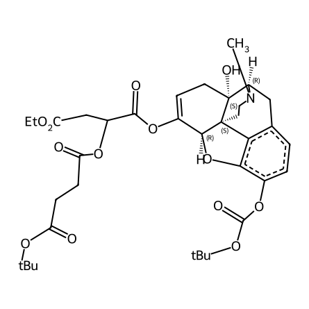 CCOC(=O)CC(OC(=O)CCC(=O)OC(C)(C)C)C(=O)OC1=CC[C@@]2(O)[C@H]3Cc4ccc(OC(=O)OC(C)(C)C)c5c4[C@@]2(CCN3C)[C@H]1O5